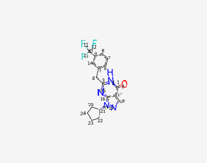 O=c1[nH]c(Cc2cccc(C(F)(F)F)c2)nc2c1cnn2C1CCCC1